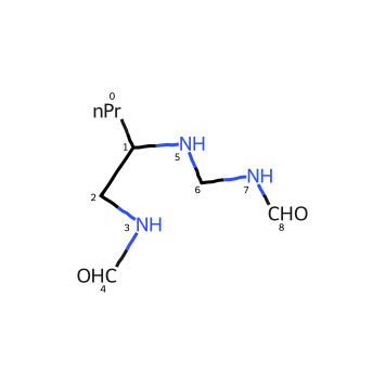 CCCC(CNC=O)NCNC=O